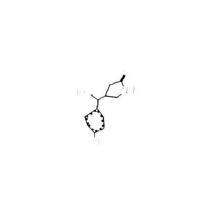 O=C1CC(C(O)c2ccc(Cl)cc2)CN1